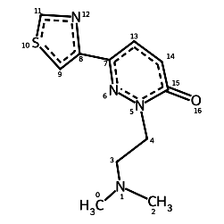 CN(C)CCn1nc(-c2cscn2)ccc1=O